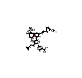 Cc1ccc(C#Cc2cccc(-c3nn(-c4nc(C(=O)O)cs4)c(CCC4CC4)c3Cc3ccc(S(N)(=O)=O)c(F)c3)c2)o1